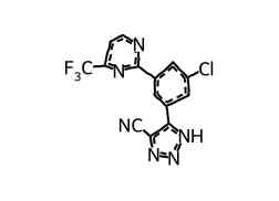 N#Cc1nn[nH]c1-c1cc(Cl)cc(-c2nccc(C(F)(F)F)n2)c1